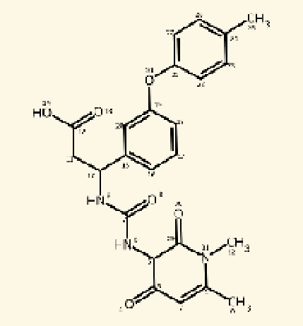 CC1=CC(=O)C(NC(=O)NC(CC(=O)O)c2cccc(Oc3ccc(C)cc3)c2)C(=O)N1C